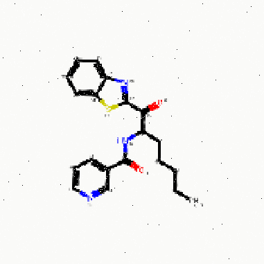 CCCCCC(NC(=O)c1cccnc1)C(=O)c1nc2ccccc2s1